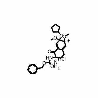 CO[C@]1(OC2CCCC2)C=C2C(=O)[C@](N)(NC(=O)OCc3ccccc3)CCC2=C[C@]1(F)OC.Cl